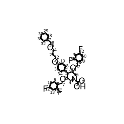 O=C(O)N1C[C@H](OCc2ccc(F)cc2F)C(c2ccc(OCCCOCc3ccccc3)cc2)[C@H](OCc2ccc(F)cc2F)C1